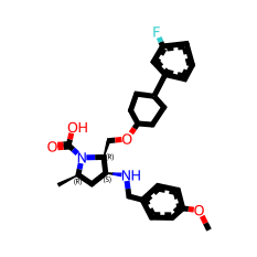 COc1ccc(CN[C@H]2C[C@@H](C)N(C(=O)O)[C@H]2COC2CCC(c3cccc(F)c3)CC2)cc1